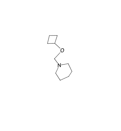 C1CCN(COC2CCC2)CC1